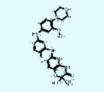 CCCOc1cc(Nc2ncc(F)c(Nc3ccc4c(n3)NC(=O)C(C)(C)O4)n2)ccc1N1CCOCC1